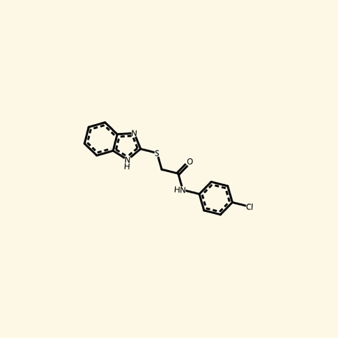 O=C(CSc1nc2ccccc2[nH]1)Nc1ccc(Cl)cc1